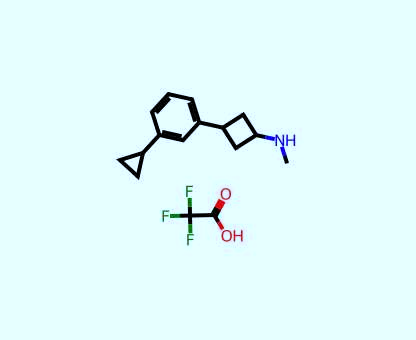 CNC1CC(c2cccc(C3CC3)c2)C1.O=C(O)C(F)(F)F